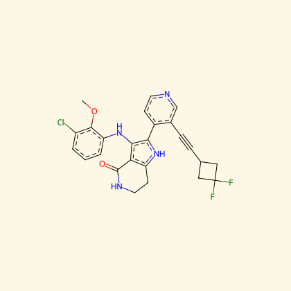 COc1c(Cl)cccc1Nc1c(-c2ccncc2C#CC2CC(F)(F)C2)[nH]c2c1C(=O)NCC2